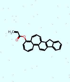 C=CC(=O)OC1=C2C=CC=c3c4c(ccc3=C2C=CC=C1)-c1ccccc1C4